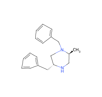 C[C@H]1CN[C@H](Cc2ccccc2)CN1Cc1ccccc1